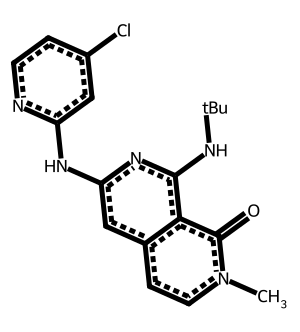 Cn1ccc2cc(Nc3cc(Cl)ccn3)nc(NC(C)(C)C)c2c1=O